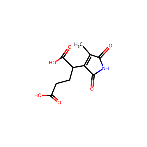 CC1=C(C(CCC(=O)O)C(=O)O)C(=O)NC1=O